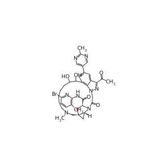 CC(=O)c1nn2c3c(cc(-c4cnc(C)nc4)cc13)C(O)C(O)CCCCCN(C)C[C@@]13C[C@@H](C(=O)Nc4nc(Br)ccc4C)N(C(=O)C2)[C@@H]1C3